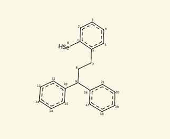 [SeH]c1ccccc1CCC(c1ccccc1)c1ccccc1